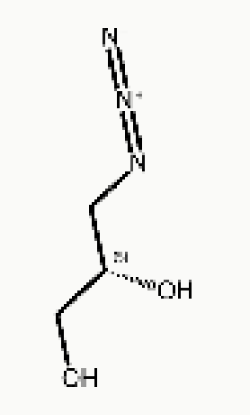 [N-]=[N+]=NC[C@H](O)CO